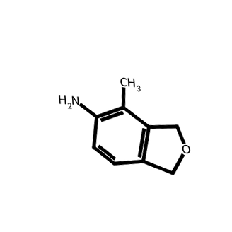 Cc1c(N)ccc2c1COC2